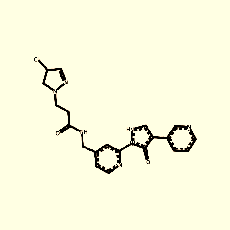 O=C(CCN1CC(Cl)C=N1)NCc1ccnc(-n2[nH]cc(-c3cccnc3)c2=O)c1